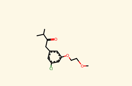 COCCOc1cc(Cl)cc(CC(=O)C(C)C)c1